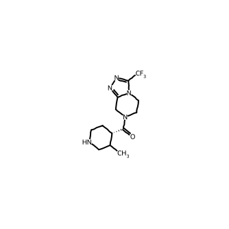 CC1CNCC[C@@H]1C(=O)N1CCn2c(nnc2C(F)(F)F)C1